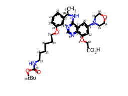 C[C@@H](Nc1ncnc2c(OCC(=O)O)cc(N3CCOCC3)cc12)c1cccc(OCCCCCCNC(=O)OC(C)(C)C)c1